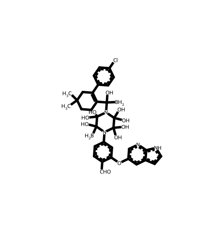 BC(O)(C1=C(c2ccc(Cl)cc2)CC(C)(C)CC1)N1C(O)(O)C(B)(O)N(c2ccc(C=O)c(Oc3cnc4[nH]ccc4c3)c2)C(O)(O)C1(O)O